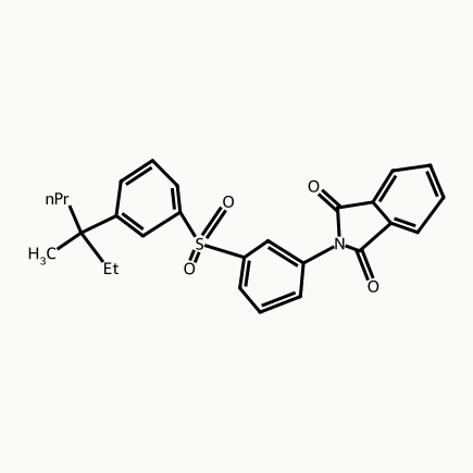 CCCC(C)(CC)c1cccc(S(=O)(=O)c2cccc(N3C(=O)c4ccccc4C3=O)c2)c1